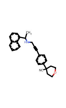 CC(NCC#Cc1ccc(C2(C#N)CCOCC2)cc1)c1cccc2ccccc12